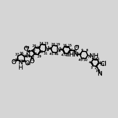 N#Cc1ccc(N[C@H]2CC[C@H](NC(=O)c3ccc(N4CCC(N5CCc6cc7c(cc6C5)C(=O)N(C5CCC(=O)NC5=O)C7=O)CC4)cc3)CC2)cc1Cl